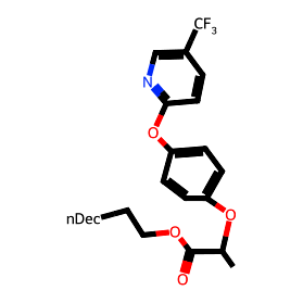 CCCCCCCCCCCCOC(=O)C(C)Oc1ccc(Oc2ccc(C(F)(F)F)cn2)cc1